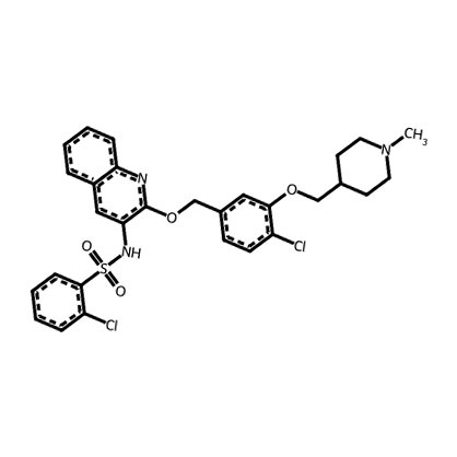 CN1CCC(COc2cc(COc3nc4ccccc4cc3NS(=O)(=O)c3ccccc3Cl)ccc2Cl)CC1